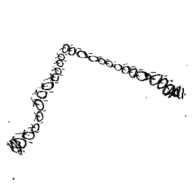 CC(C)[O-].CC(C)[O-].CC(C)[O-].CC(C)[O-].CC(C)[O-].CC(C)[O-].CC(C)[O-].CC(C)[O-].CC(C)[O-].CC(C)[O-].CC(C)[O-].CC(C)[O-].CC(C)[O-].CC(C)[O-].CC(C)[O-].CC(C)[O-].CC(C)[O-].CC(C)[O-].CC(C)[O-].CC(C)[O-].CC(C)[O-].CC(C)[O-].CC(C)[O-].CC(C)[O-].[Al].[Al].[Al].[La]